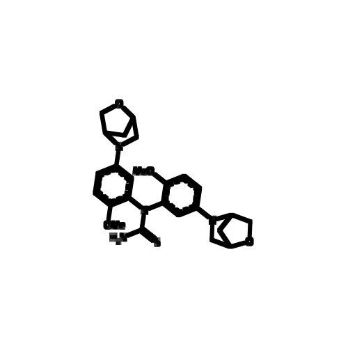 COc1ccc(N2CC3CC2CO3)cc1N(C(N)=S)c1cc(N2CC3CC2CO3)ccc1OC